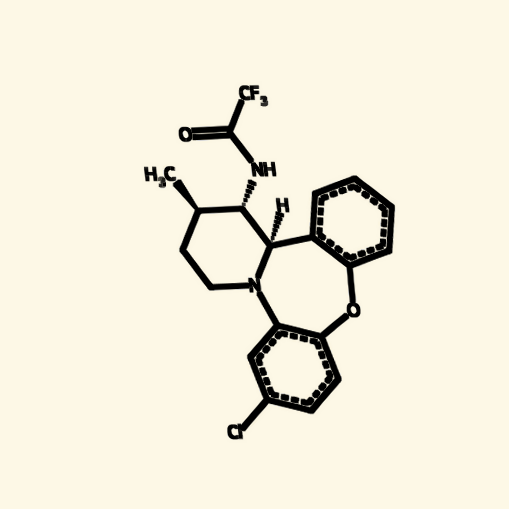 C[C@@H]1CCN2c3cc(Cl)ccc3Oc3ccccc3[C@@H]2[C@H]1NC(=O)C(F)(F)F